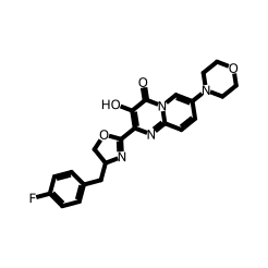 O=c1c(O)c(C2=NC(Cc3ccc(F)cc3)CO2)nc2ccc(N3CCOCC3)cn12